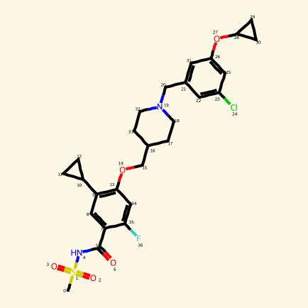 CS(=O)(=O)NC(=O)c1cc(C2CC2)c(OCC2CCN(Cc3cc(Cl)cc(OC4CC4)c3)CC2)cc1F